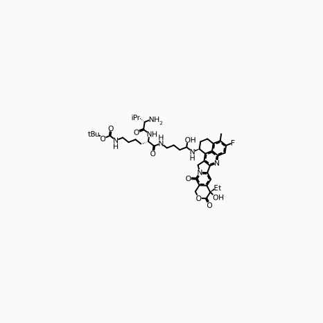 CC[C@@]1(O)C(=O)OCc2c1cc1n(c2=O)Cc2c-1nc1cc(F)c(C)c3c1c2[C@@H](NC(O)CCCNC(=O)[C@H](CCCCNC(=O)OC(C)(C)C)NC(=O)[C@@H](N)C(C)C)CC3